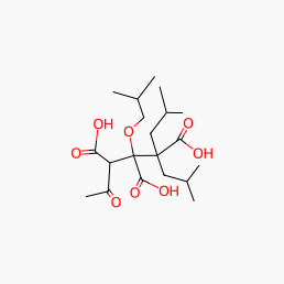 CC(=O)C(C(=O)O)C(OCC(C)C)(C(=O)O)C(CC(C)C)(CC(C)C)C(=O)O